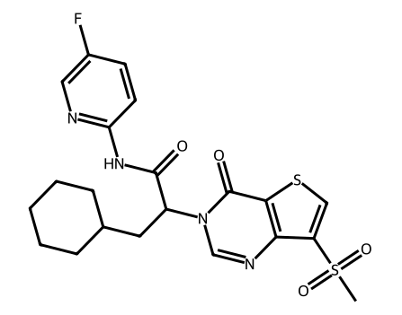 CS(=O)(=O)c1csc2c(=O)n(C(CC3CCCCC3)C(=O)Nc3ccc(F)cn3)cnc12